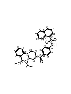 CCOC(O)c1ccccc1N1CCN(C(=O)c2ccc(NS(=O)(=O)c3cccc4cccnc34)cc2)CC1